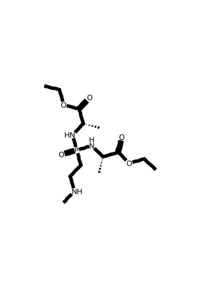 CCOC(=O)[C@H](C)NP(=O)(CCNC)N[C@@H](C)C(=O)OCC